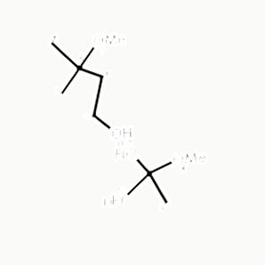 CCCC(C)(O)OC.COC(C)(C)CCO